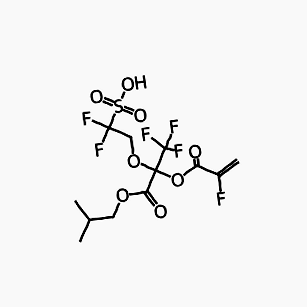 C=C(F)C(=O)OC(OCC(F)(F)S(=O)(=O)O)(C(=O)OCC(C)C)C(F)(F)F